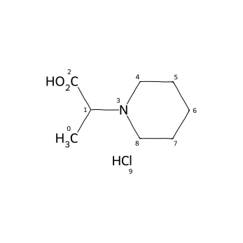 CC(C(=O)O)N1CCCCC1.Cl